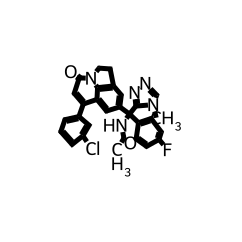 CC(=O)NC(c1ccc(F)cc1)(c1cc2c3c(c1)c(-c1cccc(Cl)c1)cc(=O)n3CC2)c1nncn1C